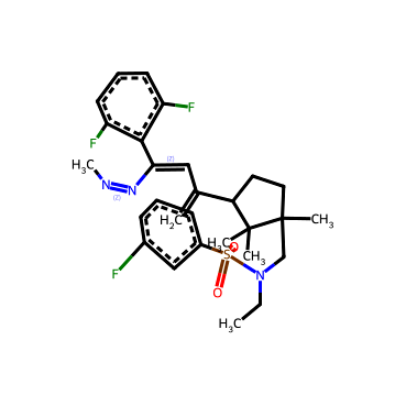 C=C(/C=C(\N=N/C)c1c(F)cccc1F)C1CCC(C)(CN(CC)S(=O)(=O)c2cccc(F)c2)C1(C)C